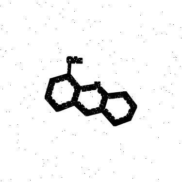 CC(=O)Oc1cccc2cc3ccccc3nc12